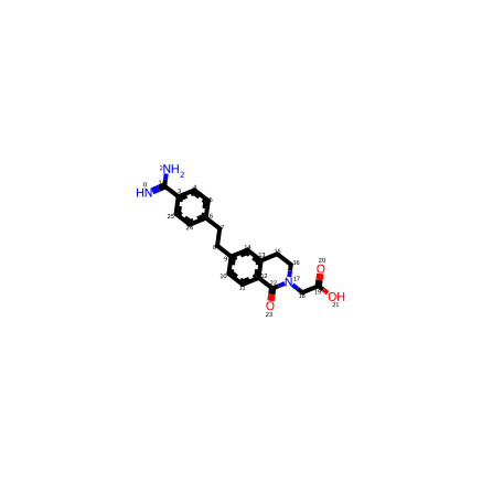 N=C(N)c1ccc(CCc2ccc3c(c2)CCN(CC(=O)O)C3=O)cc1